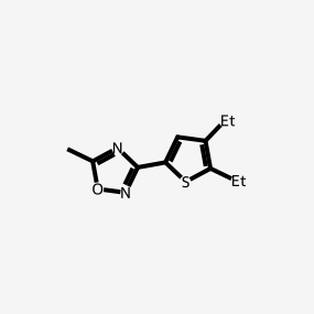 CCc1cc(-c2noc(C)n2)sc1CC